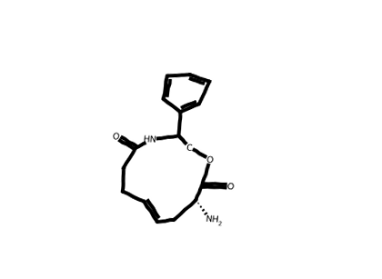 N[C@@H]1C/C=C/CCC(=O)NC(c2ccccc2)COC1=O